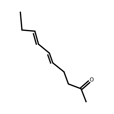 CC/C=C/C=C/CCC(C)=O